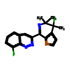 CC1(C)N=C(c2cc3cccc(F)c3nn2)c2sccc2C1(C)F